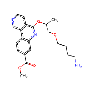 COC(=O)c1ccc2c(c1)nc(OC(C)COCCCCN)c1ccncc12